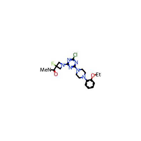 CCOc1ccccc1N1CCN(c2nc(Cl)nc(N3CC(F)(C(=O)NC)C3)n2)CC1